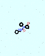 COc1cccc(N(C(=O)NCC2CCCCC2)c2ccccc2)c1